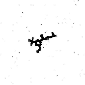 CN(C)CCNC(=O)c1cc(N=O)cc(C(F)(F)F)c1